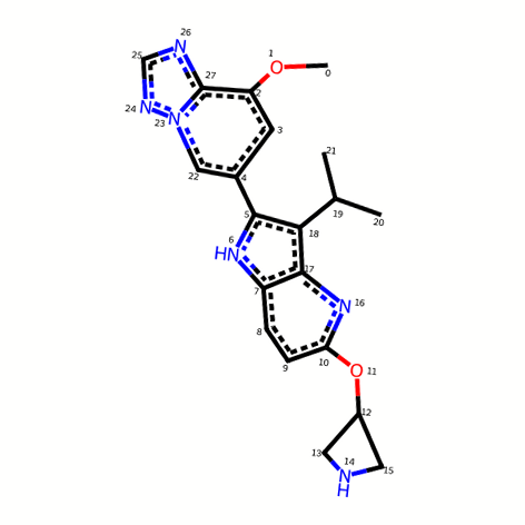 COc1cc(-c2[nH]c3ccc(OC4CNC4)nc3c2C(C)C)cn2ncnc12